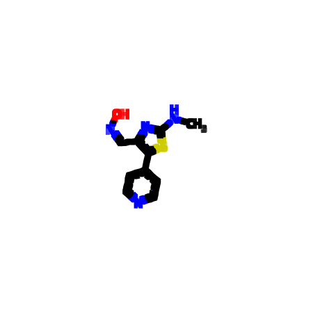 CNc1nc(/C=N\O)c(-c2ccncc2)s1